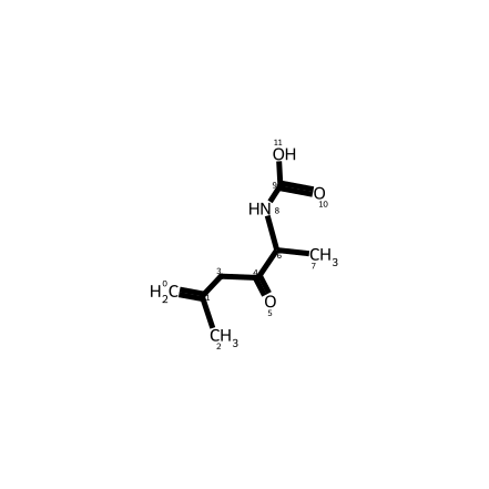 C=C(C)CC(=O)C(C)NC(=O)O